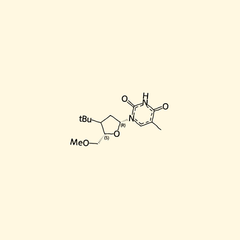 COC[C@H]1O[C@@H](n2cc(C)c(=O)[nH]c2=O)CC1C(C)(C)C